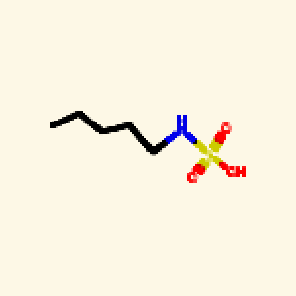 CCCC[CH]NS(=O)(=O)O